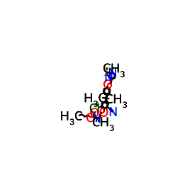 CCCCOC(=O)N(C)CCOc1c(Cl)cc(C(C)(C)c2ccc(OCc3ccnc(SC)n3)cc2)cc1C#N